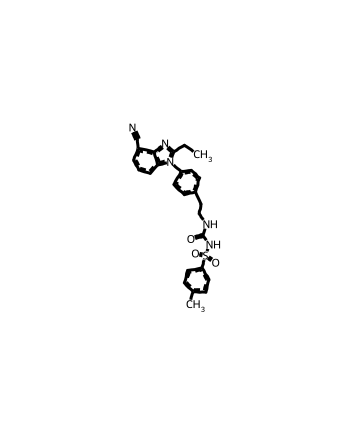 CCc1nc2c(C#N)cccc2n1-c1ccc(CCNC(=O)NS(=O)(=O)c2ccc(C)cc2)cc1